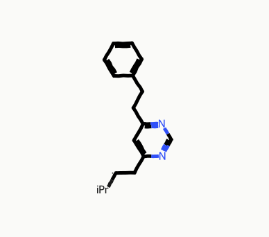 CC(C)[CH]Cc1cc(CCc2ccccc2)ncn1